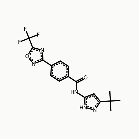 CC(C)(C)c1cc(NC(=O)c2ccc(-c3noc(C(F)(F)F)n3)cc2)[nH]n1